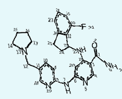 NC(=O)c1cnc(Nc2ccc(CN3CCCC3)cn2)cc1NC1CCc2cccc(F)c21